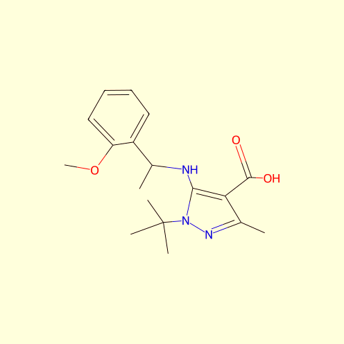 COc1ccccc1C(C)Nc1c(C(=O)O)c(C)nn1C(C)(C)C